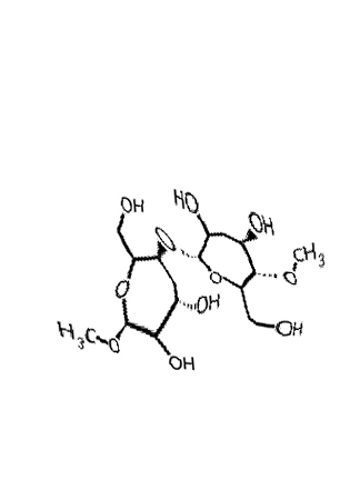 CO[C@H]1OC(CO)[C@@H](O[C@H]2OC(CO)[C@@H](OC)[C@H](O)C2O)[C@H](O)C1O